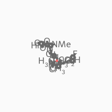 CNc1cc(OCC(=O)N2CCN(CCn3c(C(=O)O)c(CCCOc4cccc5cc(F)ccc45)c4ccc(Cl)c(-c5c(C)nn(C)c5C)c43)CC2)c2c(c1)C(=O)N(C1CCC(=O)NC1=O)C2